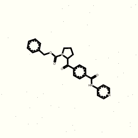 O=C(Nc1ccncc1)c1ccc(C(=O)C2CCCN2C(=O)OCc2ccccc2)cc1